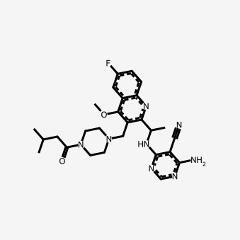 COc1c(CN2CCN(C(=O)C[C](C)C)CC2)c(C(C)Nc2ncnc(N)c2C#N)nc2ccc(F)cc12